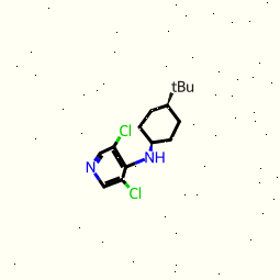 CC(C)(C)[C@H]1CC[C@@H](Nc2c(Cl)cncc2Cl)CC1